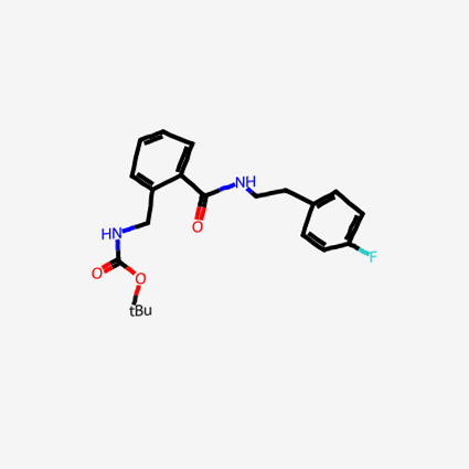 CC(C)(C)OC(=O)NCc1ccccc1C(=O)NCCc1ccc(F)cc1